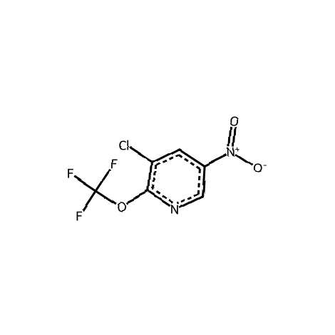 O=[N+]([O-])c1cnc(OC(F)(F)F)c(Cl)c1